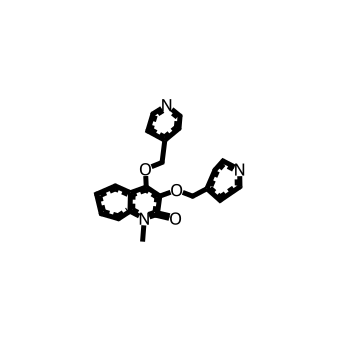 Cn1c(=O)c(OCc2ccncc2)c(OCc2ccncc2)c2ccccc21